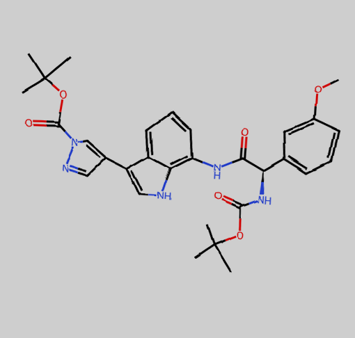 COc1cccc([C@@H](NC(=O)OC(C)(C)C)C(=O)Nc2cccc3c(-c4cnn(C(=O)OC(C)(C)C)c4)c[nH]c23)c1